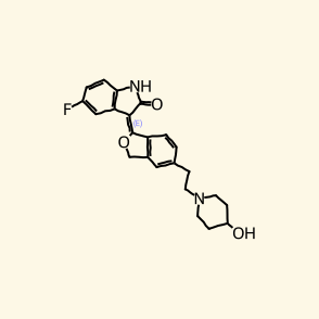 O=C1Nc2ccc(F)cc2/C1=C1\OCc2cc(CCN3CCC(O)CC3)ccc21